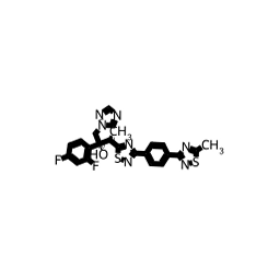 Cc1nc(-c2ccc(-c3nsc([C@H](C)[C@](O)(Cn4cncn4)c4ccc(F)cc4F)n3)cc2)ns1